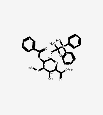 CCCCOC1C(OC(=O)c2ccccc2)[C@H](CC(C)(C)[Si](O)(c2ccccc2)c2ccccc2)OC(C(=O)OC)[C@H]1O